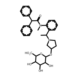 CC(c1ccccc1N(C)C(=O)C(c1ccccc1)c1ccccc1)N1CCC(OC2OC(C(=O)O)C(O)C(O)C2O)C1